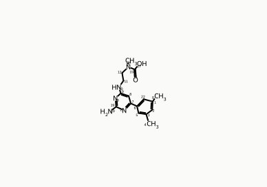 Cc1cc(C)cc(-c2cc(NCCN(C)C(=O)O)nc(N)n2)c1